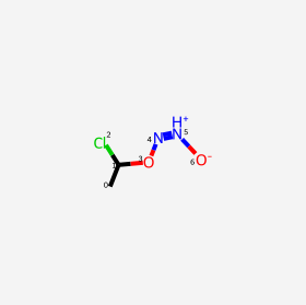 CC(Cl)O/N=[NH+]\[O-]